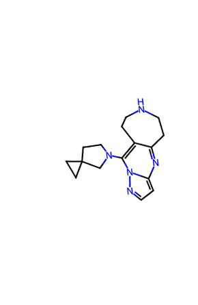 c1cc2nc3c(c(N4CCC5(CC5)C4)n2n1)CCNCC3